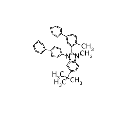 Cc1ccc(-c2ccccc2)cc1-c1n(-c2ccc(-c3ccccc3)cc2)c2cc(C(C)(C)C)ccc2[n+]1C